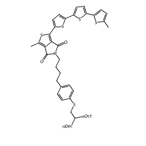 CCCCCCCCCCC(CCCCCCCC)CSc1ccc(CCCCN2C(=O)c3c(C)sc(-c4ccc(-c5ccc(-c6ccc(C)s6)s5)s4)c3C2=O)cc1